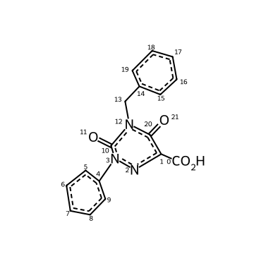 O=C(O)c1nn(-c2ccccc2)c(=O)n(Cc2ccccc2)c1=O